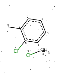 Cc1ccccc1Cl.[SiH3]Cl